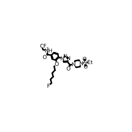 CCS(=O)(=O)N1CCN(C(=O)c2cn(-c3ccc(C(=O)NCC(F)(F)F)cc3OCCCCCCF)nn2)CC1